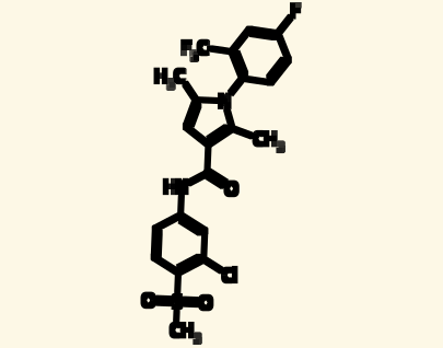 Cc1cc(C(=O)Nc2ccc(S(C)(=O)=O)c(Cl)c2)c(C)n1-c1ccc(F)cc1C(F)(F)F